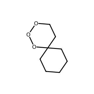 C1CCC2(CC1)CCOOO2